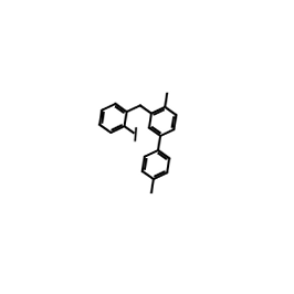 Cc1ccc(-c2ccc(C)c(Cc3ccccc3I)c2)cc1